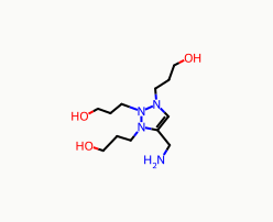 NCC1=CN(CCCO)N(CCCO)N1CCCO